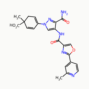 Cc1cc(-c2nc(C(=O)Nc3cn(C4=CCC(C)(C(=O)O)C=C4)nc3C(N)=O)co2)ccn1